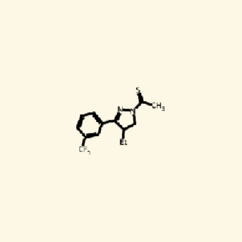 CCC1CN(C(C)=S)N=C1c1cccc(C(F)(F)F)c1